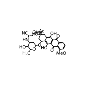 COCC(C#N)NC1CC(O[C@H]2C[C@](O)(C(C)=O)Cc3c(O)c4c(c(O)c32)C(=O)c2c(OC)cccc2C4=O)OC(C)C1O